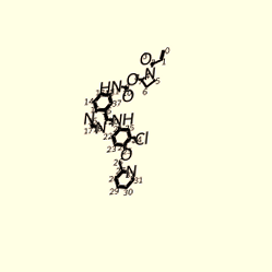 C=CC(=O)N1CCC1OC(=O)Nc1ccc2ncnc(Nc3ccc(OCc4ccccn4)c(Cl)c3)c2c1